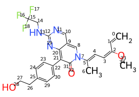 C=C/C(=C\C=C(/C)n1cc2cnc(NCC(F)(F)F)nc2c(-c2ccc(CCO)cc2)c1=O)OC